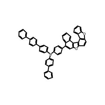 c1ccc(-c2ccc(-c3ccc(N(c4ccc(-c5ccccc5)cc4)c4ccc(-c5cc6oc7ccc8oc9ccccc9c8c7c6c6ccccc56)cc4)cc3)cc2)cc1